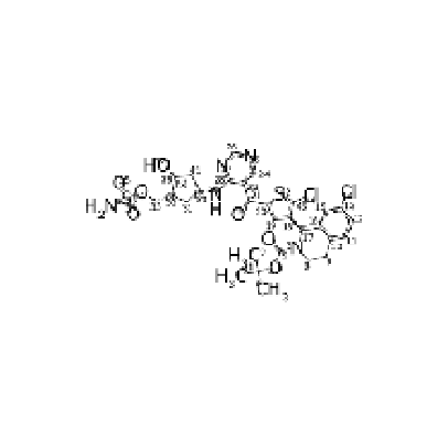 CC(C)(C)OC(=O)N1CCc2ccc(Cl)cc2[C@@H]1c1cc(C(=O)c2cncnc2N[C@@H]2C[C@H](COS(N)(=O)=O)[C@@H](O)C2)sc1Cl